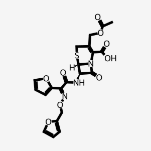 CC(=O)OCC1=C(C(=O)O)N2C(=O)[C@@H](NC(=O)C(=NOCc3ccco3)c3ccco3)[C@H]2SC1